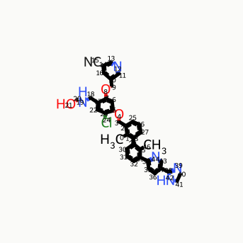 Cc1c(COc2cc(OCc3cncc(C#N)c3)c(CNCO)cc2Cl)cccc1-c1cccc(-c2ccc(C3=NCCN3)cn2)c1C